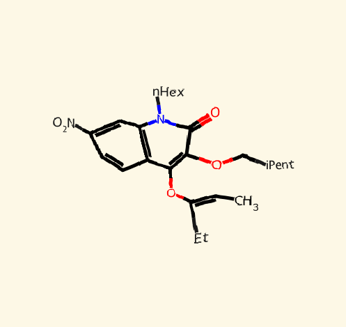 CC=C(CC)Oc1c(OCC(C)CCC)c(=O)n(CCCCCC)c2cc([N+](=O)[O-])ccc12